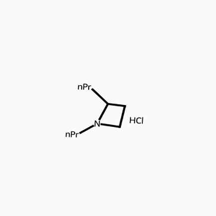 CCCC1CCN1CCC.Cl